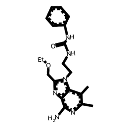 CCOCc1nc2c(N)nc(C)c(C)c2n1CCNC(=O)Nc1ccccc1